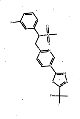 CS(=O)(=O)N(Cc1ccc(-c2nnc(C(F)(F)F)o2)cn1)c1cccc(F)c1